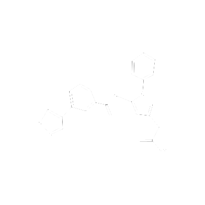 CNC(=O)Cc1cn(-c2ccccc2)c(NC(=O)c2cccc(-c3cn[nH]c3)c2)n1